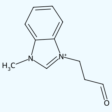 Cn1c[n+](CCC=O)c2ccccc21